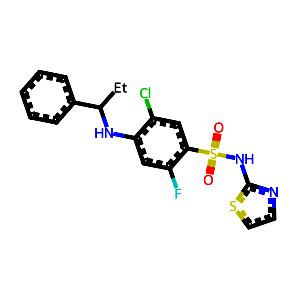 CCC(Nc1cc(F)c(S(=O)(=O)Nc2nccs2)cc1Cl)c1ccccc1